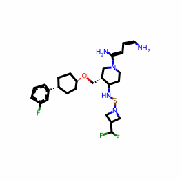 N/C=C\C=C(/N)N1CCC(NSN2CC(C(F)F)C2)[C@H](CO[C@H]2CC[C@@H](c3cccc(F)c3)CC2)C1